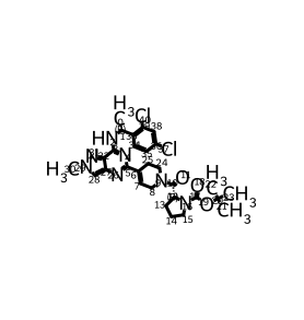 C[C@@H](Nc1nc(C2=CCN(C(=O)[C@H]3CCCN3C(=O)OC(C)(C)C)CC2)nc2cn(C)nc12)c1ccc(Cl)cc1Cl